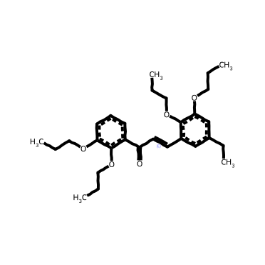 CCCOc1cc(CC)cc(/C=C/C(=O)c2cccc(OCCC)c2OCCC)c1OCCC